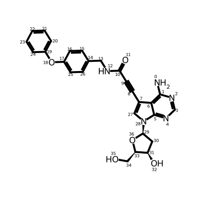 Nc1ncnc2c1c(C#CC(=O)NCc1ccc(Oc3ccccc3)cc1)cn2[C@H]1C[C@@H](O)[C@@H](CO)O1